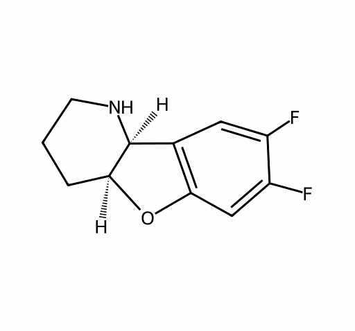 Fc1cc2c(cc1F)[C@@H]1NCCC[C@@H]1O2